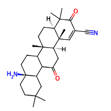 CC1(C)CC[C@]2(N)CCC3C(C(=O)C[C@@H]4[C@@]5(C)C=C(C#N)C(=O)C(C)(C)[C@@H]5CC[C@@]34C)C2C1